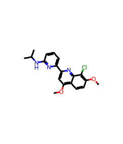 COc1ccc2c(OC)cc(-c3cccc(NC(C)C)n3)nc2c1Cl